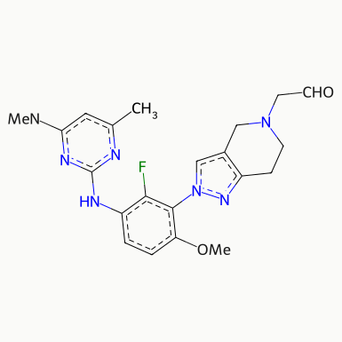 CNc1cc(C)nc(Nc2ccc(OC)c(-n3cc4c(n3)CCN(CC=O)C4)c2F)n1